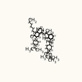 C=CCCCCn1c(=O)c(N2CCN(C(C)C)CC2)cc2c(N[C@H](C)c3cccc(C(F)(F)C4CCN(C(=O)OC(C)(C)C)CC4)c3F)ncnc21